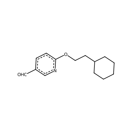 O=Cc1ccc(OCCC2CCCCC2)nc1